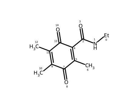 CCNC(=O)C1=C(C)C(=O)C(C)=C(C)C1=O